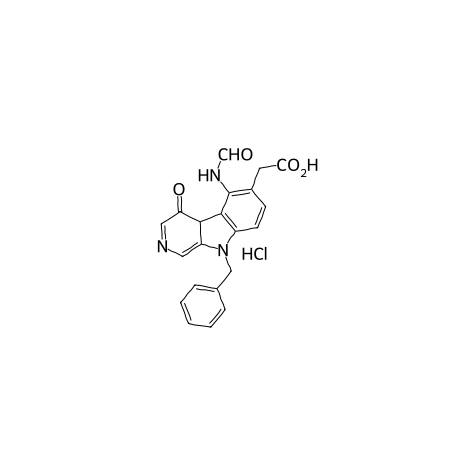 Cl.O=CNc1c(CC(=O)O)ccc2c1C1C(=O)C=NC=C1N2Cc1ccccc1